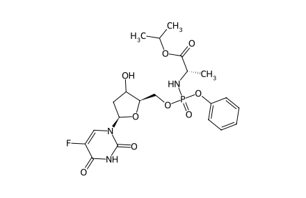 CC(C)OC(=O)[C@H](C)NP(=O)(OC[C@H]1O[C@@H](n2cc(F)c(=O)[nH]c2=O)CC1O)Oc1ccccc1